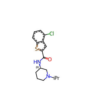 CC(C)N1CCC[C@@H](NC(=O)c2cc3c(Cl)cccc3s2)C1